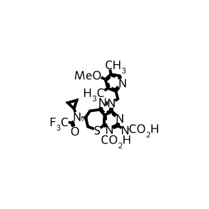 COc1c(C)cnc(Cn2nc3c4c(nc(N(C(=O)O)C(=O)O)nc42)SC[C@H](N(C(=O)C(F)(F)F)C2CC2)C3)c1C